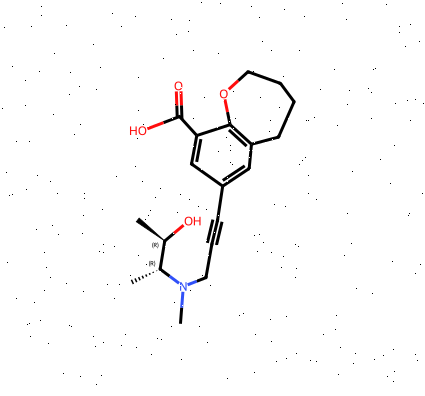 C[C@H]([C@@H](C)O)N(C)CC#Cc1cc2c(c(C(=O)O)c1)OCCCC2